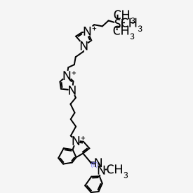 CN(/N=C/c1cc[n+](CCCCCCn2cc[n+](CCCCn3cc[n+](CCC[Si](C)(C)C)c3)c2)c2ccccc12)c1ccccc1